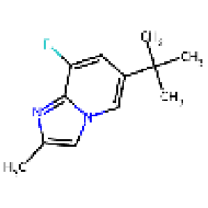 Cc1cn2cc(C(C)(C)C)cc(F)c2n1